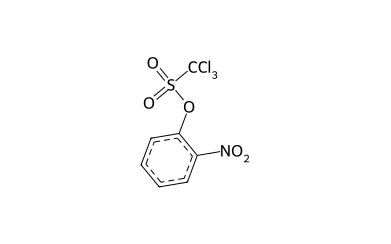 O=[N+]([O-])c1ccccc1OS(=O)(=O)C(Cl)(Cl)Cl